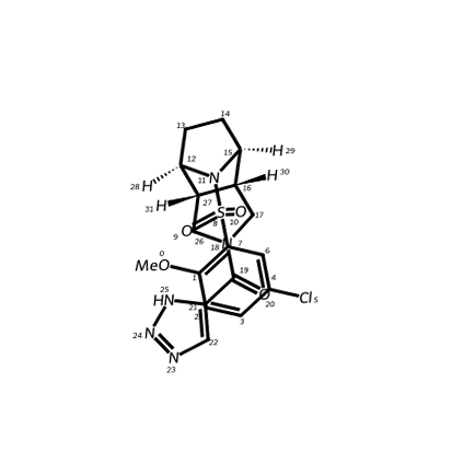 COc1ccc(Cl)cc1S(=O)(=O)N1[C@@H]2CC[C@H]1[C@@H]1CN(C(=O)c3cnn[nH]3)C[C@@H]12